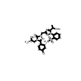 CC(=O)OC(C)c1nc(Cn2nc(-c3ccc(Cl)cc3)n(C[C@H](O)C(F)(F)F)c2=O)nn1-c1ccccc1S(N)(=O)=O